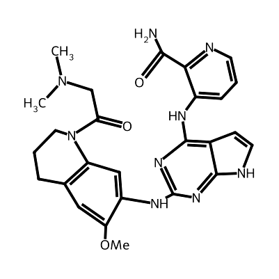 COc1cc2c(cc1Nc1nc(Nc3cccnc3C(N)=O)c3cc[nH]c3n1)N(C(=O)CN(C)C)CCC2